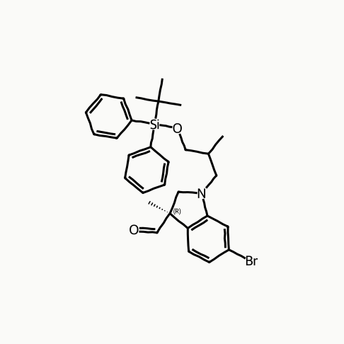 CC(CO[Si](c1ccccc1)(c1ccccc1)C(C)(C)C)CN1C[C@](C)(C=O)c2ccc(Br)cc21